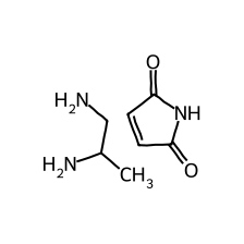 CC(N)CN.O=C1C=CC(=O)N1